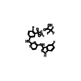 CS(=O)(=O)c1cc(Nc2nccc(Nc3n[nH]c4ccc(F)cc34)n2)ccc1F.O=C(O)C(F)(F)F